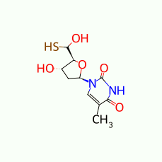 Cc1cn([C@H]2C[C@H](O)[C@@H](C(O)S)O2)c(=O)[nH]c1=O